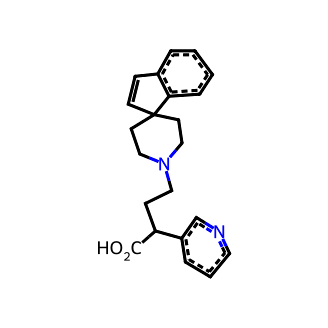 O=C(O)C(CCN1CCC2(C=Cc3ccccc32)CC1)c1cccnc1